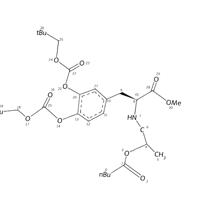 CCCCC(=O)OC(C)CN[C@@H](Cc1ccc(OC(=O)OCC(C)(C)C)c(OC(=O)OCC(C)(C)C)c1)C(=O)OC